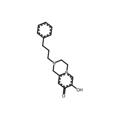 O=c1cc2n(cc1O)CCN(CCCc1ccccc1)C2